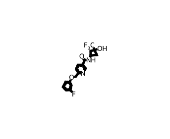 O=C(NC1CC(O)(C(F)(F)F)C1)c1ccc(COc2cccc(F)c2)nc1